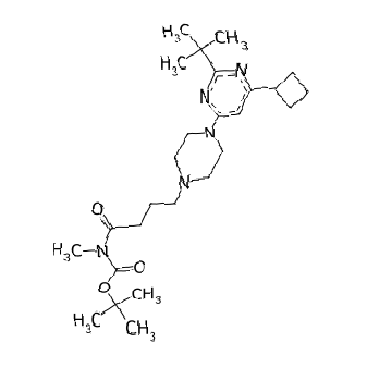 CN(C(=O)CCCN1CCN(c2cc(C3CCC3)nc(C(C)(C)C)n2)CC1)C(=O)OC(C)(C)C